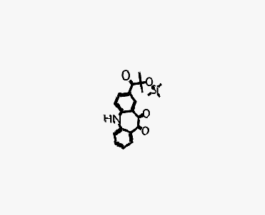 CC(C)(O[Si](C)(C)C)C(=O)c1ccc2[nH]c3ccccc3c(=O)c(=O)c2c1